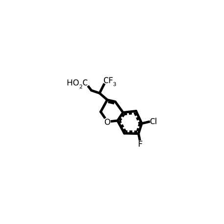 O=C(O)CC(C1=Cc2cc(Cl)c(F)cc2OC1)C(F)(F)F